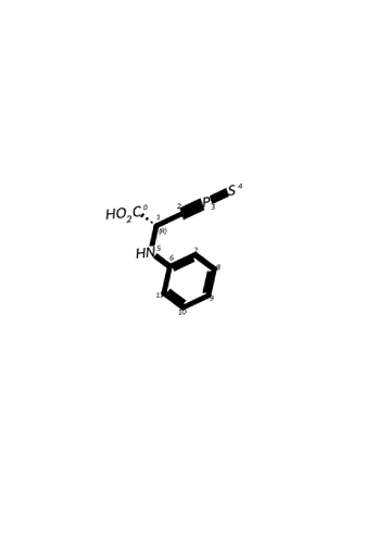 O=C(O)[C@H](C#P=S)Nc1ccccc1